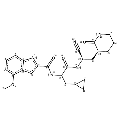 COc1cccc2[nH]c(C(=O)NC(CC3CC3)C(=O)N[C@@H](C#N)C[C@@H]3CCCNC3=O)cc12